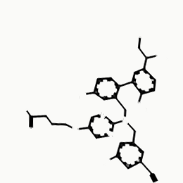 CCC(C)c1ccc(C)c(-c2ccc(C)cc2CN(Cc2cc(C)cc(C#N)c2)c2ncc(OCCCC(=O)O)cn2)c1